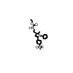 CCOC(=O)NCCc1cc(-c2ccc(S(C)(=O)=O)cc2)n(-c2ccccc2)c1C